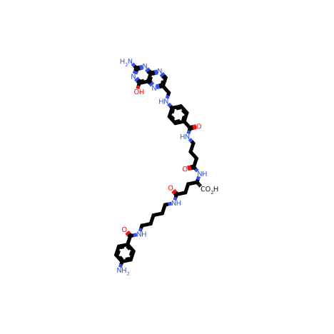 Nc1ccc(C(=O)NCCCCCNC(=O)CCC(NC(=O)CCCNC(=O)c2ccc(NCc3cnc4nc(N)nc(O)c4n3)cc2)C(=O)O)cc1